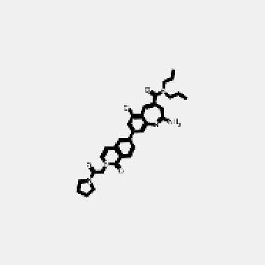 CCCN(CCC)C(=O)C1=Cc2c(Cl)cc(-c3ccc4c(=O)n(CC(=O)N5CCCC5)ccc4c3)cc2N=C(N)C1